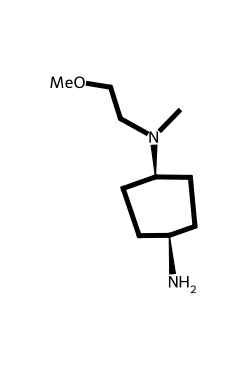 COCCN(C)[C@H]1CC[C@@H](N)CC1